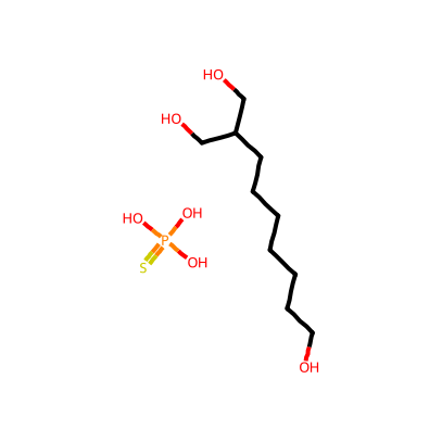 OCCCCCCCC(CO)CO.OP(O)(O)=S